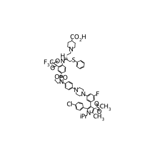 Cc1c(S(C)(=O)=O)c(-c2cc(F)cc(N3CCN(c4ccc(N5CCO[P@]5(=O)c5ccc(N[C@H](CCN6CCC(C(=O)O)CC6)CSc6ccccc6)c(S(=O)(=O)C(F)(F)F)c5)cc4)CC3)c2)c(-c2ccc(Cl)cc2)n1C(C)C